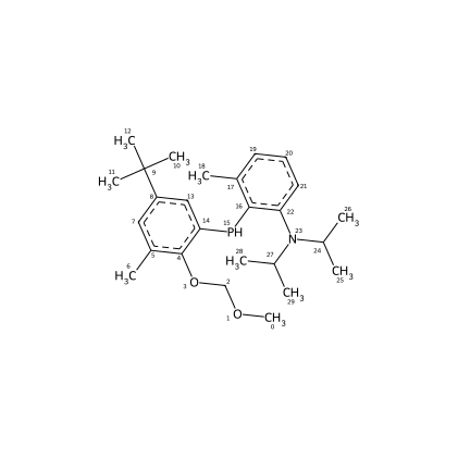 COCOc1c(C)cc(C(C)(C)C)cc1Pc1c(C)cccc1N(C(C)C)C(C)C